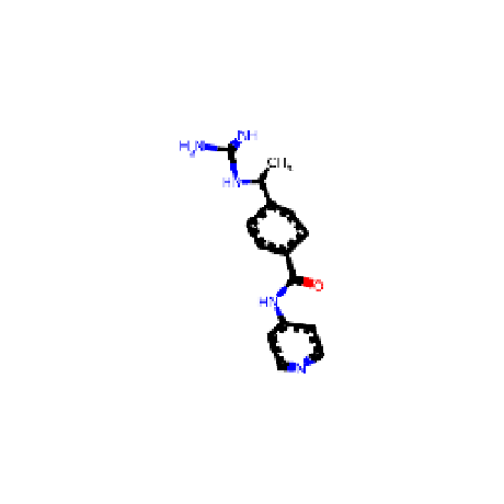 CC(NC(=N)N)c1ccc(C(=O)Nc2ccncc2)cc1